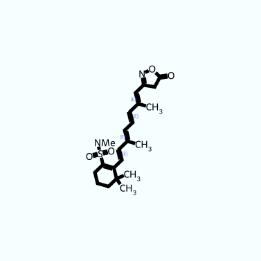 CNS(=O)(=O)C1=C(/C=C/C(C)=C/C=C/C(C)=C/C2=NOC(=O)C2)C(C)(C)CCC1